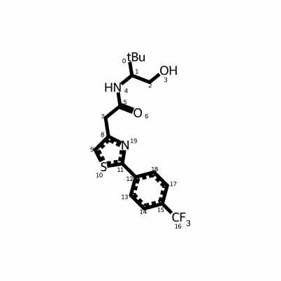 CC(C)(C)C(CO)NC(=O)Cc1csc(-c2ccc(C(F)(F)F)cc2)n1